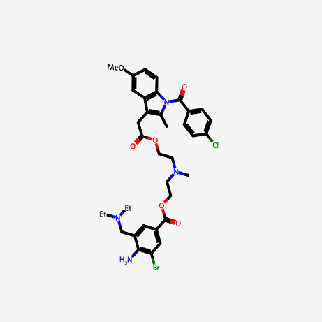 CCN(CC)Cc1cc(C(=O)OCCN(C)CCOC(=O)Cc2c(C)n(C(=O)c3ccc(Cl)cc3)c3ccc(OC)cc23)cc(Br)c1N